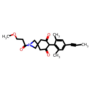 CC#Cc1cc(C)c(C2C(=O)CC3(CC2=O)CN(C(=O)CCOC)C3)c(C)c1